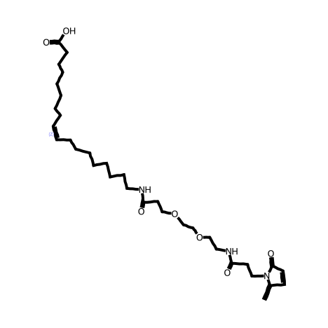 C=C1C=CC(=O)N1CCC(=O)NCCOCCOCCC(=O)NCCCCCCCC/C=C\CCCCCCCC(=O)O